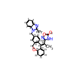 CCCc1nc2ccccc2n1Cc1ccc2c(c1)COc1ccccc1/C2=C(\C)c1noc(=O)[nH]1